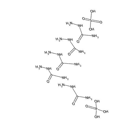 NNC(N)=O.NNC(N)=O.NNC(N)=O.NNC(N)=O.NNC(N)=O.O=P(O)(O)O.O=S(=O)(O)O